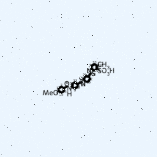 COc1ccc(C(=O)Nc2ccc(-c3nc4ccc(-c5nc6ccc(C)c(S(=O)(=O)O)c6s5)cc4s3)cc2)cc1